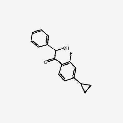 O=C(c1ccc(C2CC2)cc1F)C(O)c1ccccc1